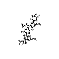 Cc1cc(Nc2ncc(Cl)c(Nc3cn(C)nc3S(=O)(=O)C(C)C)n2)c(OCC2CC2)cc1C1CCN(C)CC1